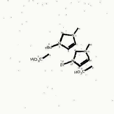 CC(=O)O.CC(=O)O.CCCCN1C=CN(C)C1.CCN1C=CN(C)C1